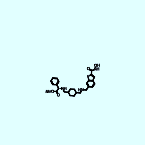 COC(=O)[C@@H](NCC1CCC(CNCc2ccc3cc(C(=O)NO)sc3c2)CC1)c1ccccc1